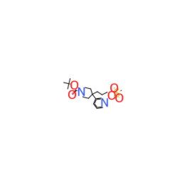 CC(C)(C)OC(=O)N1CCC(CCCOS(C)(=O)=O)(c2cccnc2)CC1